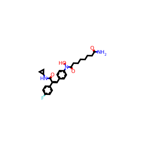 NC(=O)CCCCCCC(=O)N(O)c1ccc(C=C(C(=O)NC2CC2)c2ccc(F)cc2)cc1